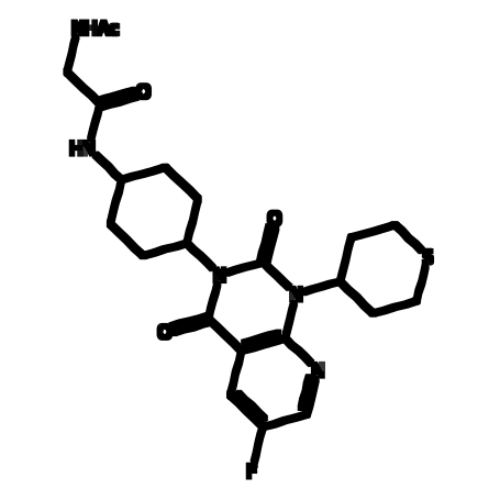 CC(=O)NCC(=O)NC1CCC(n2c(=O)c3cc(F)cnc3n(C3CCSCC3)c2=O)CC1